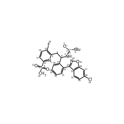 CC(C)(C)[S@+]([O-])NC(Cc1nc(S(C)(=O)=O)ccc1F)c1ccccc1-c1noc2cc(Cl)ccc12